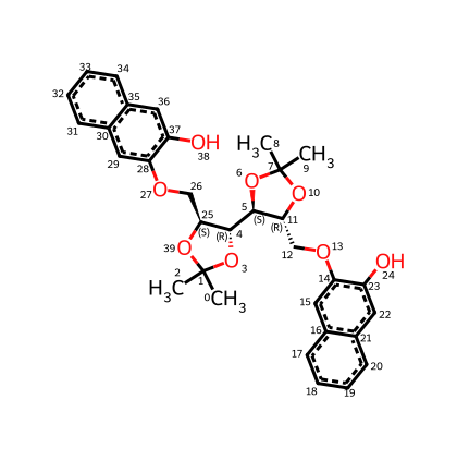 CC1(C)O[C@@H]([C@H]2OC(C)(C)O[C@@H]2COc2cc3ccccc3cc2O)[C@H](COc2cc3ccccc3cc2O)O1